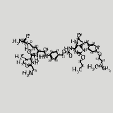 CCCOc1nc(NC(=O)OCc2ccc(NC(=O)[C@H](CCCNC(N)=O)NC(=O)C(NC(=O)CN)C(C)C)cc2)c2[nH]c(=O)n(Cc3ccc(OCCN(C)C)nc3)c2n1